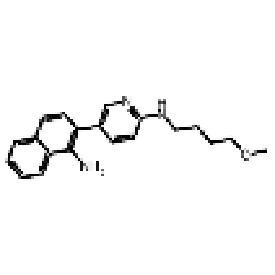 COCCCCNc1ccc(-c2ccc3ccccc3c2N)cn1